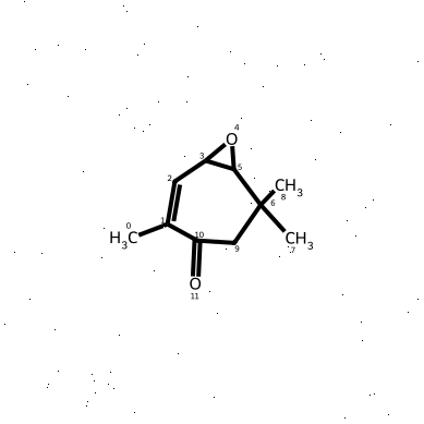 CC1=CC2OC2C(C)(C)CC1=O